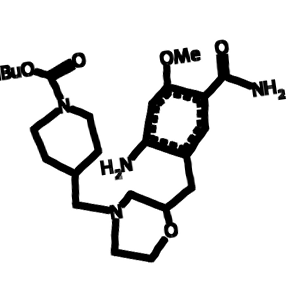 COc1cc(N)c(CC2CN(CC3CCN(C(=O)OCC(C)C)CC3)CCO2)cc1C(N)=O